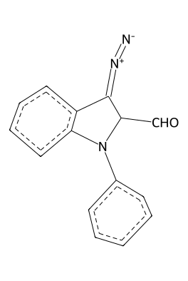 [N-]=[N+]=C1c2ccccc2N(c2ccccc2)C1C=O